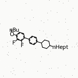 CCCCCCCC1CCC(c2ccc(-c3ccc(OCCCC)c(F)c3F)cc2)CC1